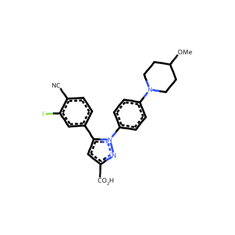 COC1CCN(c2ccc(-n3nc(C(=O)O)cc3-c3ccc(C#N)c(F)c3)cc2)CC1